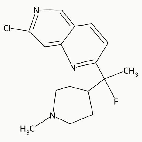 CN1CCC(C(C)(F)c2ccc3cnc(Cl)cc3n2)CC1